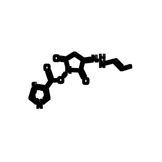 CC=CNN=C1CC(=O)N(OC(=O)c2cncs2)C1=O